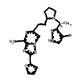 C[C@H](c1n[nH]cc1Br)N1CCCC1CCc1cn2nc(-c3ccco3)nc2c(N)n1